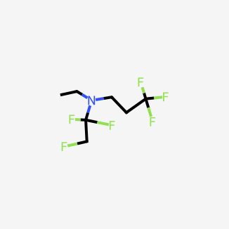 CCN(CCC(F)(F)F)C(F)(F)CF